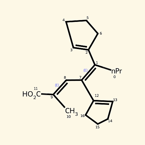 CCC/C(C1=CCCC1)=C(/C=C(\C)C(=O)O)C1=CCCC1